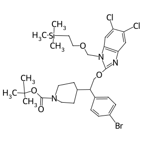 CC(C)(C)OC(=O)N1CCC(C(COc2nc3cc(Cl)c(Cl)cc3n2COCC[Si](C)(C)C)c2ccc(Br)cc2)CC1